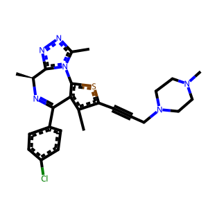 Cc1c(C#CCN2CCN(C)CC2)sc2c1C(c1ccc(Cl)cc1)=N[C@@H](C)c1nnc(C)n1-2